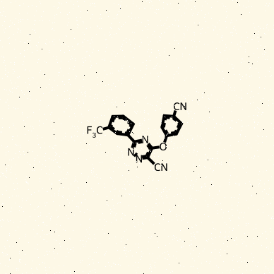 N#Cc1ccc(Oc2nc(-c3cccc(C(F)(F)F)c3)nnc2C#N)cc1